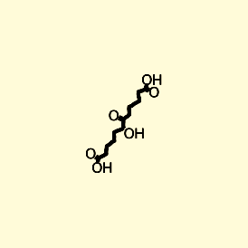 O=C(O)CCCCC(=O)C(O)CCCCC(=O)O